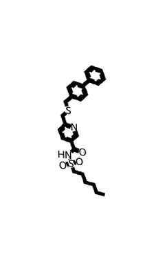 CCCCCCS(=O)(=O)NC(=O)c1ccc(CSCc2ccc(-c3ccccc3)cc2)nc1